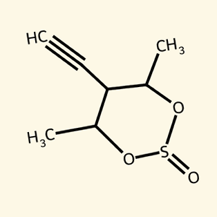 C#CC1C(C)OS(=O)OC1C